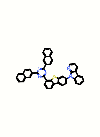 c1ccc2cc(-c3nc(-c4ccc5ccccc5c4)nc(-c4cccc5c4sc4cc(-n6c7ccccc7c7cccnc76)ccc45)n3)ccc2c1